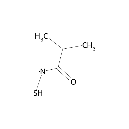 CC(C)C(=O)[N]S